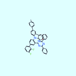 Cc1ccc(-c2ccc3c(c2)c2ccccc2n3-c2ccc(-c3cccc(F)c3F)cc2-c2nc(-c3ccccc3)nc(-c3ccccc3)n2)cc1